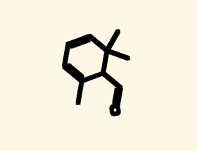 CC1=CC=CC(C)(C)C1C=O